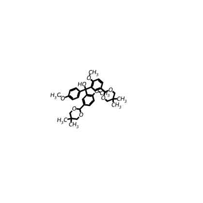 COc1ccc(C(O)(c2cc(C3OCC(C)(C)CO3)ccc2OC)c2cc(C3OCC(C)(C)CO3)ccc2OC)cc1